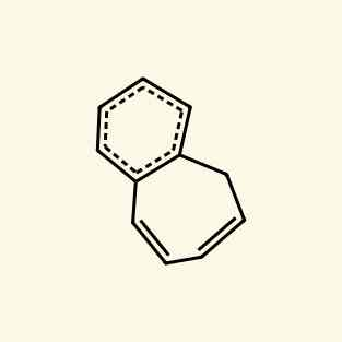 C1=CCc2ccccc2C=C1